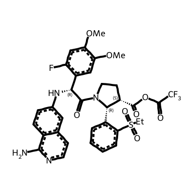 CCS(=O)(=O)c1ccccc1[C@H]1[C@@H](C(=O)OC(=O)C(F)(F)F)CCN1C(=O)[C@H](Nc1ccc2c(N)nccc2c1)c1cc(OC)c(OC)cc1F